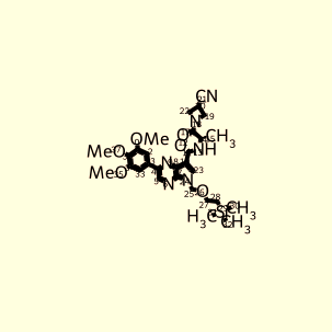 COc1cc(-c2cnc3c(n2)c(C(=O)N[C@H](C)C(=O)N2CC(C#N)C2)cn3COCC[Si](C)(C)C)cc(OC)c1OC